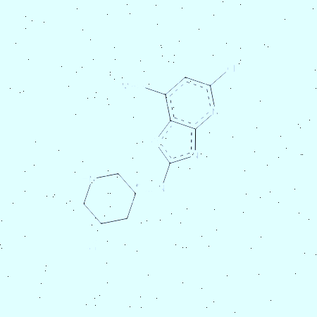 COc1cc(Cl)nc2nc(N[C@H]3CNC[C@@H](O)C3)oc12